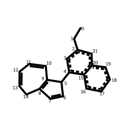 CCc1cc(C2C=CC3=C2C=CC=CC3)c2ccccc2c1